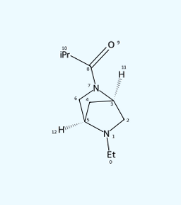 CCN1C[C@H]2C[C@@H]1CN2C(=O)C(C)C